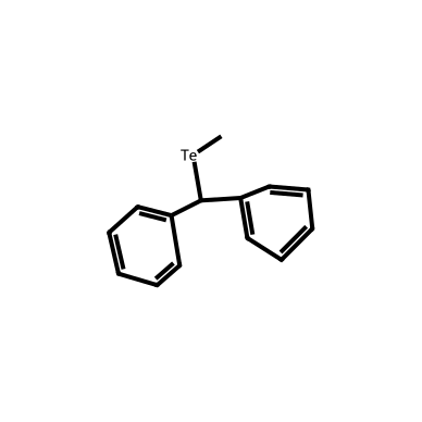 C[Te]C(c1ccccc1)c1ccccc1